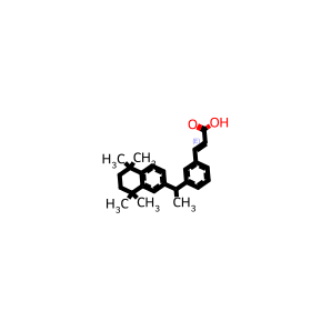 CC(c1cccc(/C=C/C(=O)O)c1)c1ccc2c(c1)C(C)(C)CCC2(C)C